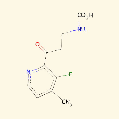 Cc1ccnc(C(=O)CCNC(=O)O)c1F